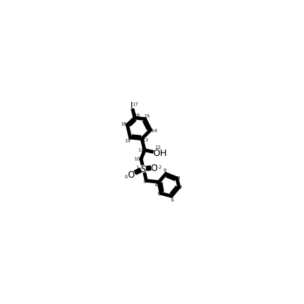 O=S(=O)(Cc1ccccc1)CC(O)c1ccc(I)cc1